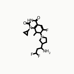 CC1c2c(c(=O)[nH]c(=O)n2C2CC2)C=C(F)C1N1CCC(C(N)CC(F)F)C1